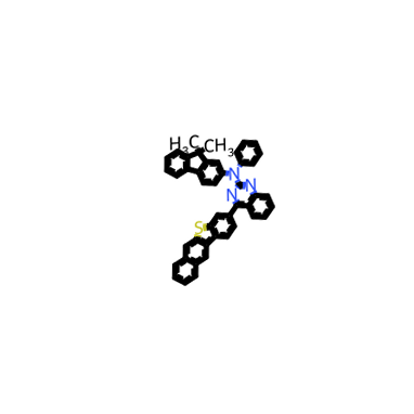 CC1(C)c2ccccc2-c2ccc(N(c3ccccc3)c3nc(-c4ccc5c(c4)sc4cc6ccccc6cc45)c4ccccc4n3)cc21